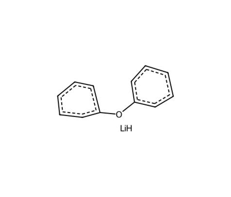 [LiH].c1ccc(Oc2ccccc2)cc1